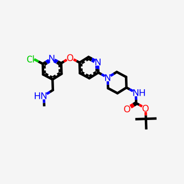 CNCc1cc(Cl)nc(Oc2ccc(N3CCC(NC(=O)OC(C)(C)C)CC3)nc2)c1